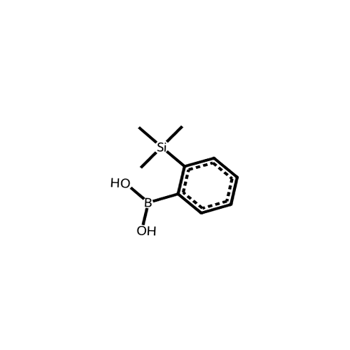 C[Si](C)(C)c1ccccc1B(O)O